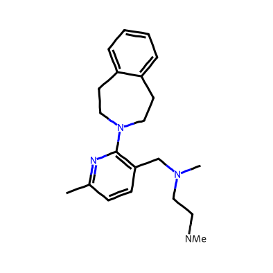 CNCCN(C)Cc1ccc(C)nc1N1CCc2ccccc2CC1